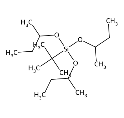 CCC(C)O[Si](OC(C)CC)(OC(C)CC)C(C)(C)C